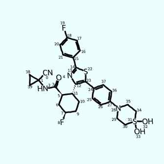 N#CC1(NC(=O)[C@@H]2C[C@H](F)CC[C@H]2c2nc(-c3ccc(F)cc3)sc2-c2ccc(N3CCS(O)(O)CC3)cc2)CC1